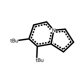 CC(C)(C)c1ccn2cccc2c1C(C)(C)C